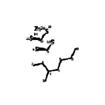 CCCCC(C)CC.S=C[S-].S=C[S-].[Zn+2]